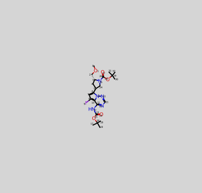 COC[C@H]1CC(c2cc(I)c3c(NC(=O)OC(C)(C)C)ncnn23)CN1C(=O)OC(C)(C)C